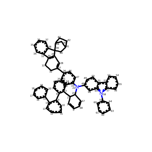 C1=CC(c2ccccc2-c2ccccc2-c2ccccc2)C(N(c2ccc(C3=CC4=C(CC3)c3ccccc3C43CC4CCC3C4)cc2)c2ccc3c4ccccc4n(-c4ccccc4)c3c2)C=C1